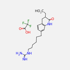 N=C(N)NCCCCCCc1ccc2c(c1)NC(=O)C(CC(=O)O)C2.O=C(O)C(F)(F)F